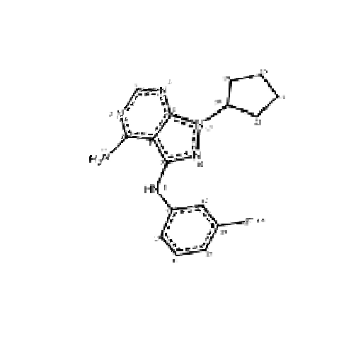 Nc1ncnc2c1c(Nc1cccc(F)c1)nn2C1CCCC1